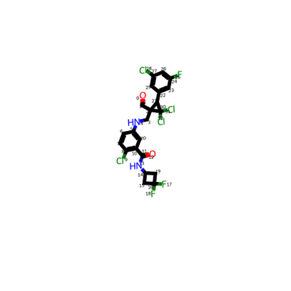 O=CC1(CNc2ccc(Cl)c(C(=O)NC3CC(F)(F)C3)c2)C(c2cc(F)cc(Cl)c2)C1(Cl)Cl